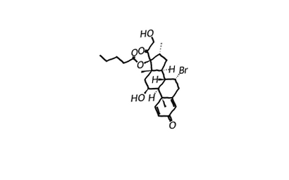 CCCCC(=O)O[C@@]1(C(=O)CO)[C@H](C)C[C@H]2[C@H]3[C@H]([C@@H](O)C[C@@]21C)[C@@]1(C)C=CC(=O)C=C1C[C@H]3Br